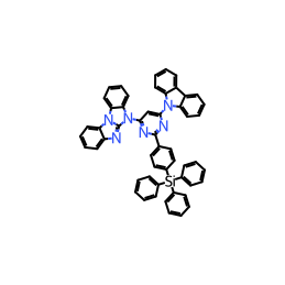 c1ccc([Si](c2ccccc2)(c2ccccc2)c2ccc(-c3nc(-n4c5ccccc5c5ccccc54)cc(-n4c5ccccc5n5c6ccccc6nc45)n3)cc2)cc1